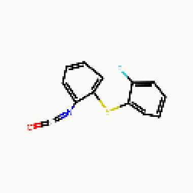 O=C=Nc1ccccc1Sc1ccccc1F